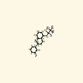 Cc1cccc(-c2ccc3c(CC(C)(C)C(F)(F)F)cccc3n2)c1